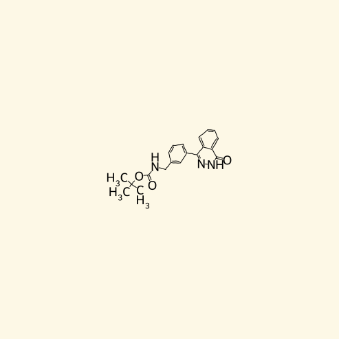 CC(C)(C)OC(=O)NCc1cccc(-c2n[nH]c(=O)c3ccccc23)c1